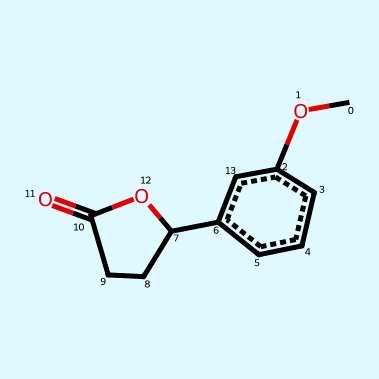 COc1cccc(C2CCC(=O)O2)c1